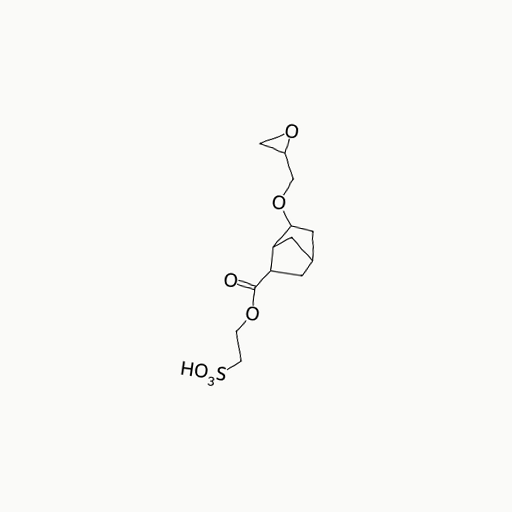 O=C(OCCS(=O)(=O)O)C1CC2CC(OCC3CO3)C1C2